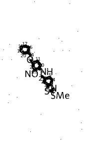 CSc1nc2ccc(CNc3ccc(OCc4ccccc4)cc3[N+](=O)[O-])cc2s1